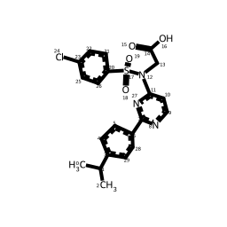 CC(C)c1ccc(-c2nccc(N(CC(=O)O)S(=O)(=O)c3ccc(Cl)cc3)n2)cc1